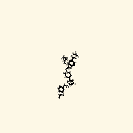 Cc1nc2cc(COc3cccc(C4CCN(Cc5nc6ccc(C(=O)OC(C)(C)C)cc6n5C[C@@H]5CCO5)CC4)n3)ccc2s1